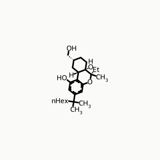 CCCCCCC(C)(C)c1cc(O)c2c(c1)O[C@@](C)(CC)[C@]1(O)CC[C@@H](CO)C[C@@H]21